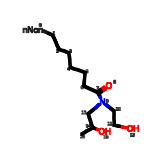 CCCCCCCCCCCCCCCC(=O)N(CCO)CC(C)O